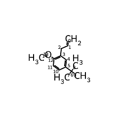 C=CCc1cc(C(C)(C)C)ccc1OC